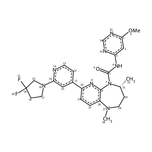 COc1cc(NC(=O)N2c3nc(-c4ccnc(N5CCC(F)(F)C5)c4)ccc3N(C)CC[C@H]2C)ncn1